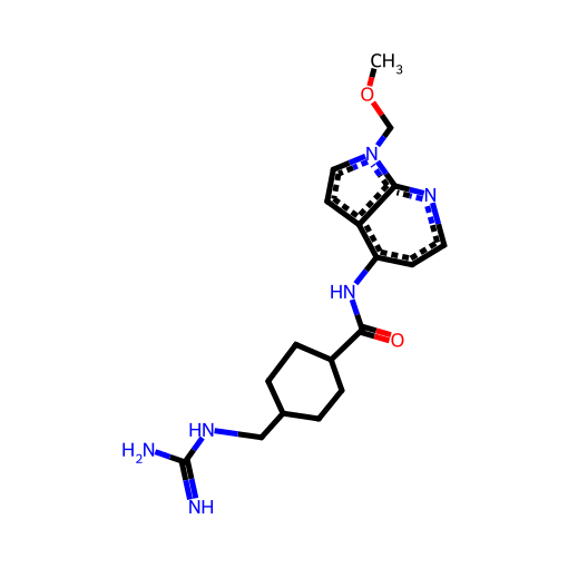 COCn1ccc2c(NC(=O)C3CCC(CNC(=N)N)CC3)ccnc21